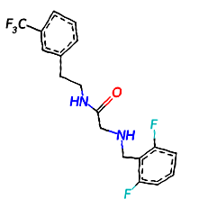 O=C(CNCc1c(F)cccc1F)NCCc1cccc(C(F)(F)F)c1